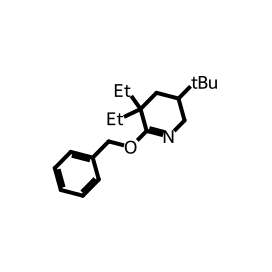 CCC1(CC)CC(C(C)(C)C)CN=C1OCc1ccccc1